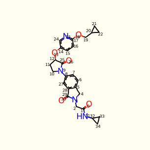 O=C(CN1Cc2ccc(N3CC[C@@H](Oc4ccc(OCC5CC5)nc4)C3=O)cc2C1=O)NC1CC1